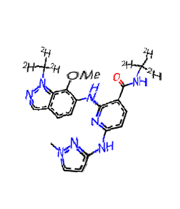 [2H]C([2H])([2H])NC(=O)c1ccc(Nc2ccn(C)n2)nc1Nc1ccc2cnn(C([2H])([2H])[2H])c2c1OC